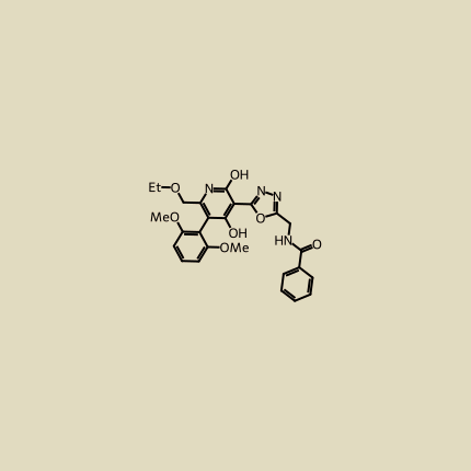 CCOCc1nc(O)c(-c2nnc(CNC(=O)c3ccccc3)o2)c(O)c1-c1c(OC)cccc1OC